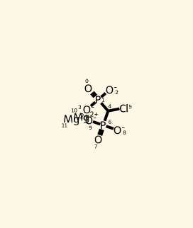 O=P([O-])([O-])C(Cl)P(=O)([O-])[O-].[Mg+2].[Mg+2]